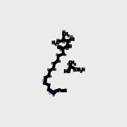 CC(O)C(=O)O.CCCCC/C=C\C/C=C\CCCCCCCC(=O)NC(CC)N(C)C